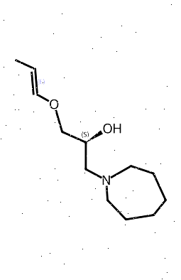 C/C=C/OC[C@@H](O)CN1CCCCCC1